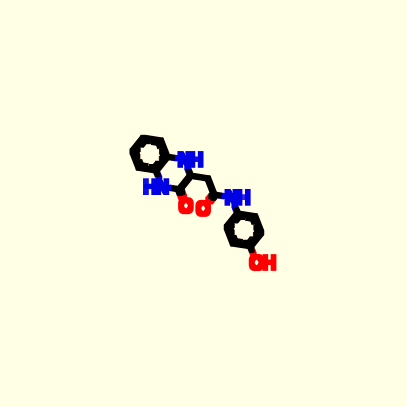 O=C(CC1Nc2ccccc2NC1=O)Nc1ccc(O)cc1